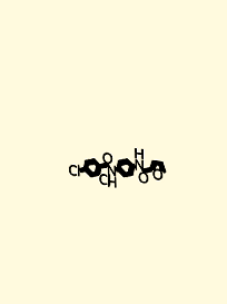 O=C(Nc1ccc(NC(=O)c2ccc(Cl)cc2Cl)cc1)c1ccco1